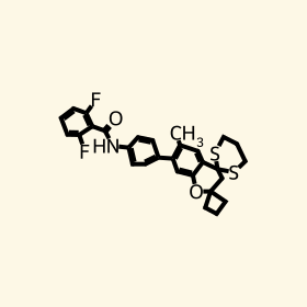 Cc1cc2c(cc1-c1ccc(NC(=O)c3c(F)cccc3F)cc1)OC1(CCC1)CC21SCCCS1